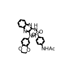 CC(=O)Nc1ccc(S(=O)(=O)Nc2nc3ccccc3nc2Nc2ccc3c(c2)OCCO3)cc1